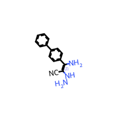 N#C/C(NN)=C(/N)c1ccc(-c2ccccc2)cc1